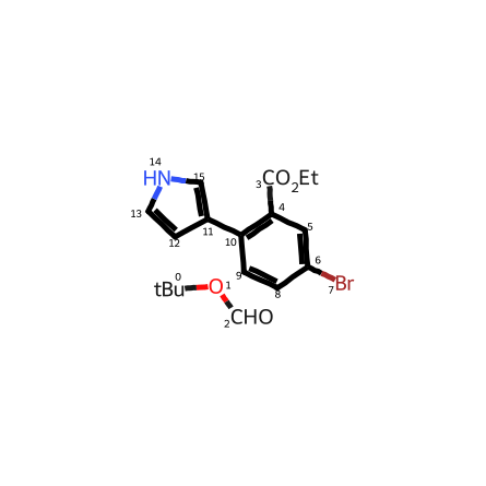 CC(C)(C)OC=O.CCOC(=O)c1cc(Br)ccc1-c1cc[nH]c1